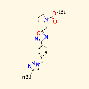 CCCCc1cn(Cc2ccc(-c3noc(C[C@@H]4CCCN4C(=O)OC(C)(C)C)n3)cc2)nn1